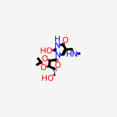 CNCC1=CN([C@@H]2O[C@H](CO)C3OC(C)(C)OC32)C(O)NC1=O